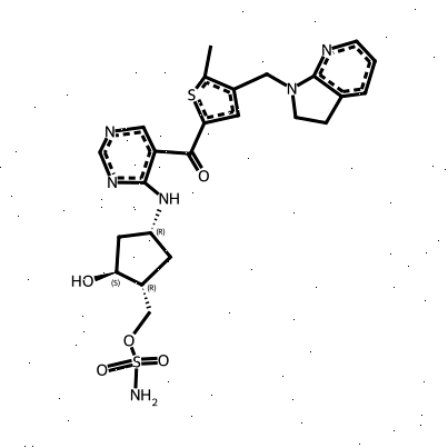 Cc1sc(C(=O)c2cncnc2N[C@@H]2C[C@H](COS(N)(=O)=O)[C@@H](O)C2)cc1CN1CCc2cccnc21